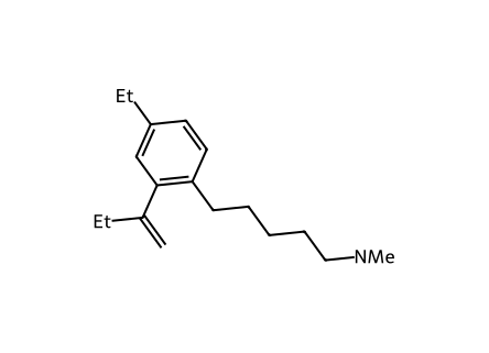 C=C(CC)c1cc(CC)ccc1CCCCCNC